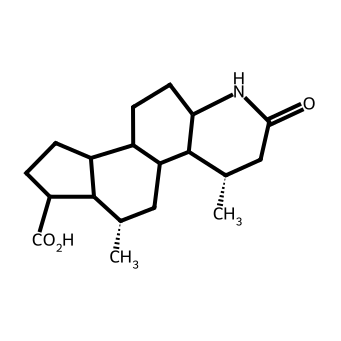 C[C@H]1CC(=O)NC2CCC3C(C[C@H](C)C4C(C(=O)O)CCC34)C21